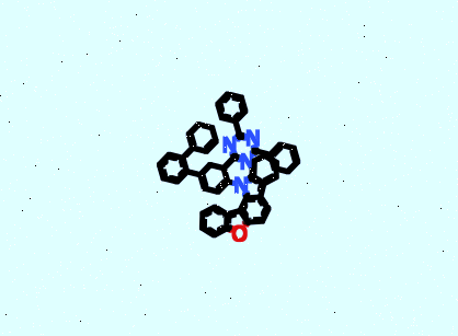 C1=CCCC(c2nc(-c3ccccc3)nc(C3CC(c4ccccc4C4=CCCC=C4)=CC=C3n3c4c(c5ccc6oc7ccccc7c6c53)=CCCC=4)n2)=C1